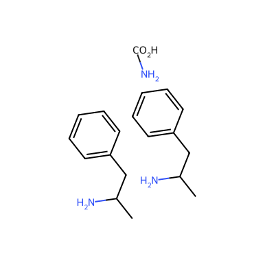 CC(N)Cc1ccccc1.CC(N)Cc1ccccc1.NC(=O)O